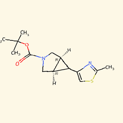 Cc1nc(C2[C@H]3CN(C(=O)OC(C)(C)C)C[C@@H]23)cs1